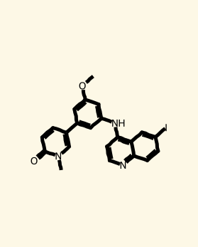 COc1cc(Nc2ccnc3ccc(I)cc23)cc(-c2ccc(=O)n(C)c2)c1